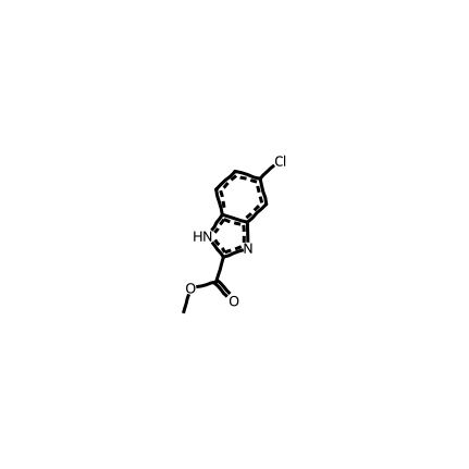 COC(=O)c1nc2cc(Cl)ccc2[nH]1